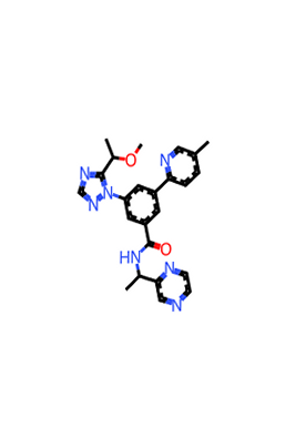 COC(C)c1ncnn1-c1cc(C(=O)NC(C)c2cnccn2)cc(-c2ccc(C)cn2)c1